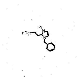 CCCCCCCCCCCCC1N(Cc2ccccc2)C=CN1C(C)C